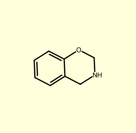 c1ccc2c(c1)CNCO2